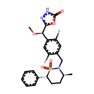 CO[C@@H](c1n[nH]c(=O)o1)c1cc(F)c(CN2[C@@H](C)CC[C@H](c3ccccc3)S2(=O)=O)cc1F